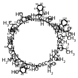 CCCC[C@H]1C(=O)N(C)[C@@H](CCCC)C(=O)N[C@@H](CN)C(=O)N[C@H](C(N)=O)CSCC(=O)N[C@@H](Cc2ccc(O)cc2)C(=O)N(C)[C@@H](C)C(=O)N[C@@H](CC(N)=O)C(=O)N2CCC[C@H]2C(=O)N[C@@H](CN)C(=O)N[C@@H](CC(C)C)C(=O)N2C[C@H](O)C[C@H]2C(=O)N[C@@H](Cc2c[nH]c3ccccc23)C(=O)N[C@@H](CO)C(=O)N[C@@H](Cc2cn(CC(=O)O)c3ccccc23)C(=O)N1C